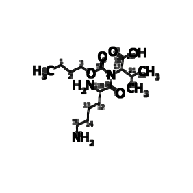 CCCCOC(=O)N(C(=O)C(N)CCCCN)C(C(=O)O)C(C)C